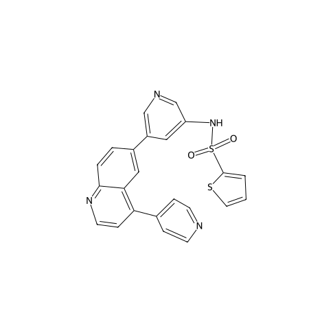 O=S(=O)(Nc1cncc(-c2ccc3nccc(-c4ccncc4)c3c2)c1)c1cccs1